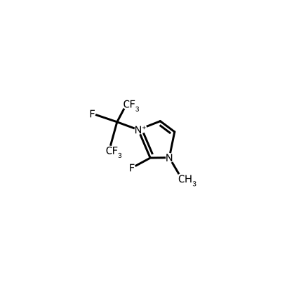 Cn1cc[n+](C(F)(C(F)(F)F)C(F)(F)F)c1F